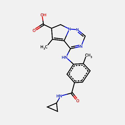 CC1=C2C(Nc3cc(C(=O)NC4CC4)ccc3C)=NC=NN2CC1C(=O)O